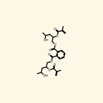 C=C(C)C(=O)OC(COC(=O)c1ccccc1C(=O)OCC(CC(C)O)OC(=O)C(=C)C)CC(C)O